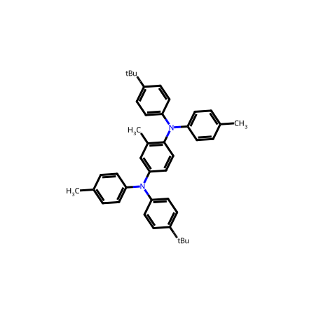 Cc1ccc(N(c2ccc(C(C)(C)C)cc2)c2ccc(N(c3ccc(C)cc3)c3ccc(C(C)(C)C)cc3)c(C)c2)cc1